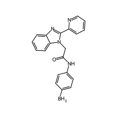 Bc1ccc(NC(=O)Cn2c(-c3ccccn3)nc3ccccc32)cc1